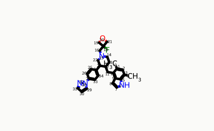 Cc1cc(C)c2[nH]ccc2c1CC1CCN(CC2(F)COC2)CC1c1ccc(-n2cccn2)cc1